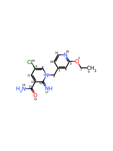 CCOc1cc(Cn2cc(Cl)cc(C(N)=O)c2=N)ccn1